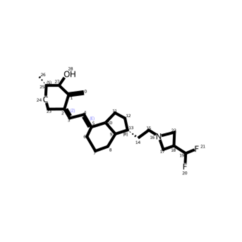 C=C1/C(=C\C=C2/CCCC3C2CC[C@@H]3CCN2CC(C(F)F)C2)CC[C@H](C)C1O